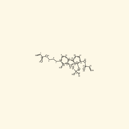 C=CC(=O)OCCCc1ccc2c(oc3c(OC(F)(F)F)c(OC(=O)C=C)ccc32)c1F